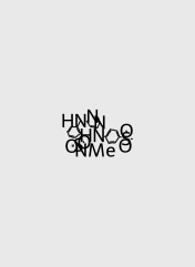 CNS(=O)(=O)c1cccc(Nc2cc(Nc3ccc(S(C)(=O)=O)cc3)ncn2)c1